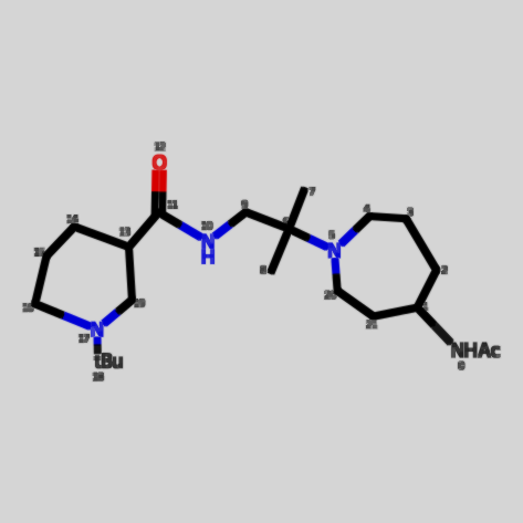 CC(=O)NC1CCCN(C(C)(C)CNC(=O)C2CCCN(C(C)(C)C)C2)CC1